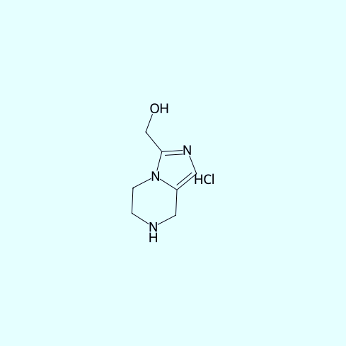 Cl.OCc1ncc2n1CCNC2